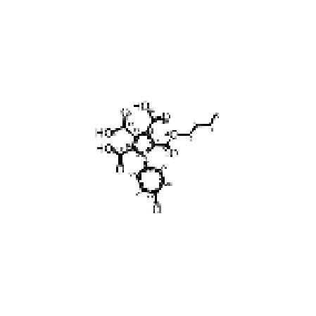 CCCCOC(=O)c1c(C(=O)O)c(C(=O)O)c(C(=O)O)n1-c1ccc(Cl)cc1